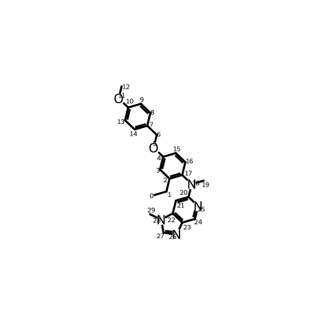 CCc1cc(OCc2ccc(OC)cc2)ccc1N(C)c1cc2c(cn1)ncn2C